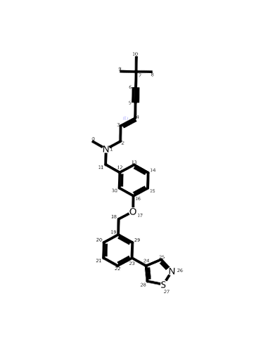 CN(C/C=C/C#CC(C)(C)C)Cc1cccc(OCc2cccc(-c3cnsc3)c2)c1